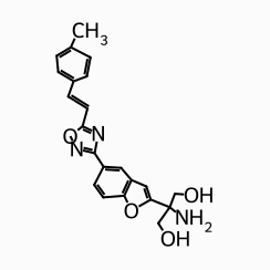 Cc1ccc(/C=C/c2nc(-c3ccc4oc(C(N)(CO)CO)cc4c3)no2)cc1